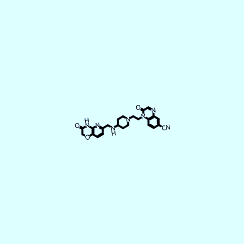 N#Cc1ccc2c(c1)ncc(=O)n2CCN1CCC(NCc2ccc3c(n2)NC(=O)CO3)CC1